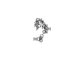 CC1(C)CCc2nc3c(F)cc(-c4nc(Nc5ccc(C6CCN(C(=O)O)CC6)cn5)ncc4F)cc3n21